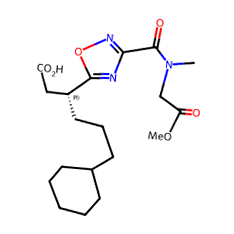 COC(=O)CN(C)C(=O)c1noc([C@H](CCCC2CCCCC2)CC(=O)O)n1